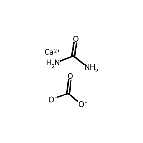 NC(N)=O.O=C([O-])[O-].[Ca+2]